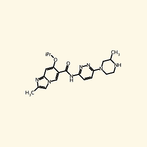 Cc1cn2cc(C(=O)Nc3ccc(N4CCNC(C)C4)nn3)c(OC(C)C)cc2n1